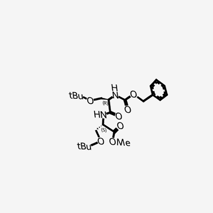 COC(=O)[C@H](COC(C)(C)C)NC(=O)[C@@H](COC(C)(C)C)NC(=O)OCc1ccccc1